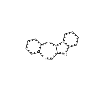 c1ccc2nc3c4ccccc4nc-3cnc2c1